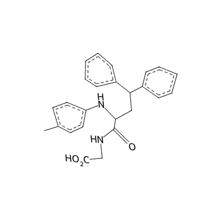 Cc1ccc(NC(CC(c2ccccc2)c2ccccc2)C(=O)NCC(=O)O)cc1